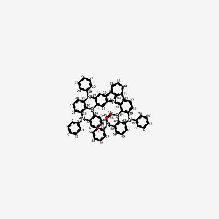 c1ccc(N2c3ccccc3B3c4cc5c(cc4N(c4ccccc4)c4cccc2c43)c2cccc3c4ccc6c(c4n5c23)B2c3ccccc3N(c3ccccc3)c3cccc(c32)N6c2ccccc2)cc1